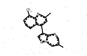 Cc1cnc2c(-c3cc(C)nc4c(C(F)(F)F)cccc34)cnn2c1